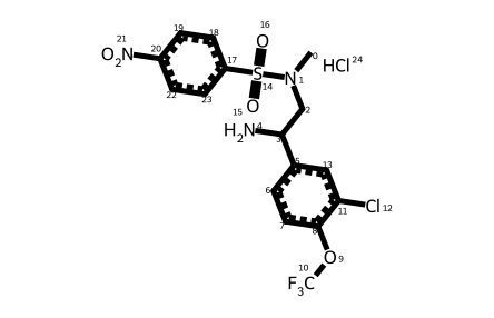 CN(CC(N)c1ccc(OC(F)(F)F)c(Cl)c1)S(=O)(=O)c1ccc([N+](=O)[O-])cc1.Cl